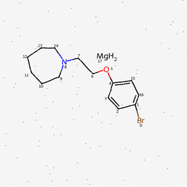 Brc1ccc(OCCN2CCCCCC2)cc1.[MgH2]